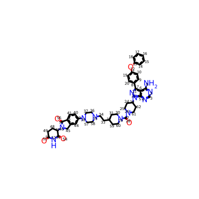 Nc1ncnc2c1c(-c1ccc(Oc3ccccc3)cc1)nn2C1CCN(C(=O)N2CCC(CCN3CCN(c4ccc5c(c4)CN(C4CCC(=O)NC4=O)C5=O)CC3)CC2)CC1